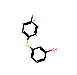 Oc1cccc(Sc2ccc(Cl)cc2)c1